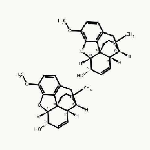 COc1ccc2c3c1O[C@H]1[C@@H](O)C=C[C@H]4[C@@H](C2)N(C)CC[C@@]341.COc1ccc2c3c1O[C@H]1[C@@H](O)C=C[C@H]4[C@@H](C2)N(C)CC[C@@]341